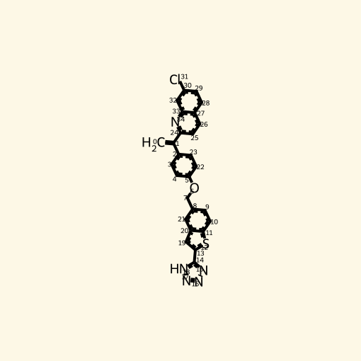 C=C(c1ccc(OCc2ccc3sc(-c4nnn[nH]4)cc3c2)cc1)c1ccc2ccc(Cl)cc2n1